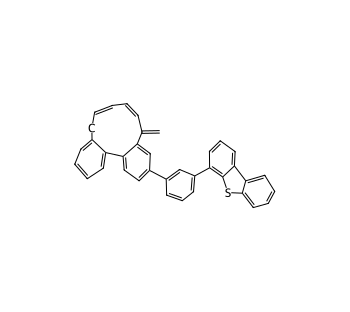 C=C1/C=C\C=C/Cc2ccccc2-c2ccc(-c3cccc(-c4cccc5c4sc4ccccc45)c3)cc21